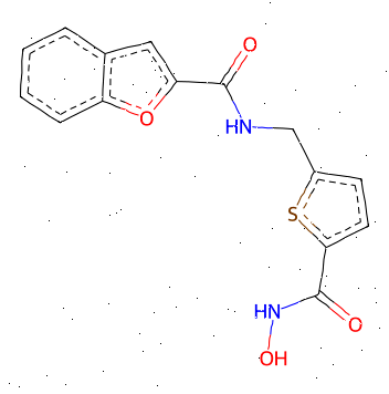 O=C(NCc1ccc(C(=O)NO)s1)c1cc2ccccc2o1